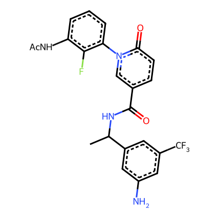 CC(=O)Nc1cccc(-n2cc(C(=O)NC(C)c3cc(N)cc(C(F)(F)F)c3)ccc2=O)c1F